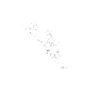 CC(C)c1ccccc1[C@@H]1COCCN1C1CC2(CCN(c3ccc(C(=O)NS(=O)(=O)c4ccc(NCC5CCC(C)(O)CC5)c([N+](=O)[O-])c4)c(N4C[C@H]5COCCCN5c5nc6[nH]ccc6cc54)c3)CC2)C1